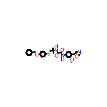 COc1cc(NC(=O)C(=O)NC(C)(C)CSc2ccc(OCc3ccccc3)cc2)ccc1-c1cnco1